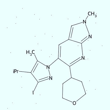 Cc1c(C(C)C)c(I)nn1-c1cc2cn(C)nc2nc1C1CCOCC1